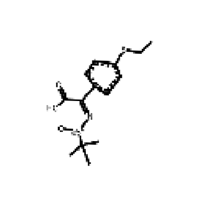 CCSc1ccc(C(=N[S@+]([O-])C(C)(C)C)C(=O)O)cc1